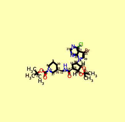 CC(C)(C)OC(=O)N1CCC[C@@H](CNC(=O)[C@H]2C[C@@H](n3cc(Br)c4c(Cl)ncnc43)[C@@H]3OC(C)(C)O[C@@H]32)C1